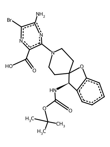 CC(C)(C)OC(=O)N[C@@H]1c2ccccc2OC12CCN(c1nc(N)c(Br)nc1C(=O)O)CC2